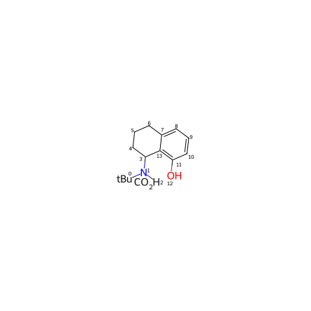 CC(C)(C)N(C(=O)O)C1CCCc2cccc(O)c21